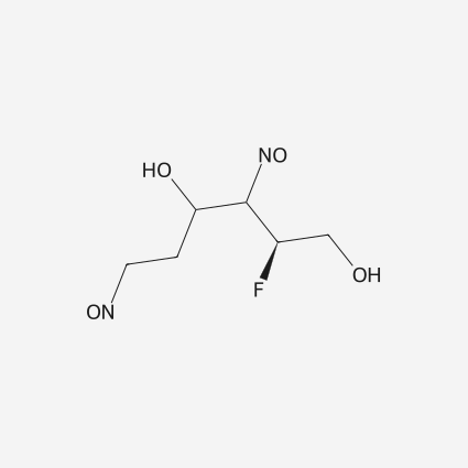 O=NCCC(O)C(N=O)[C@H](F)CO